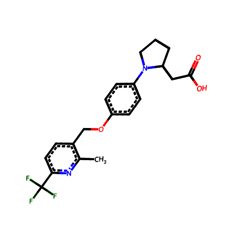 Cc1nc(C(F)(F)F)ccc1COc1ccc(N2CCCC2CC(=O)O)cc1